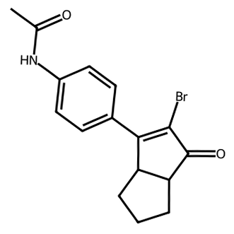 CC(=O)Nc1ccc(C2=C(Br)C(=O)C3CCCC23)cc1